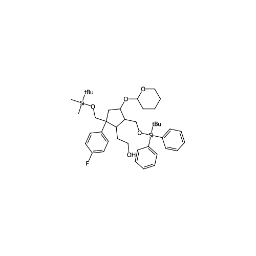 CC(C)(C)[Si](C)(C)OCC1(c2ccc(F)cc2)CC(OC2CCCCO2)C(CO[Si](c2ccccc2)(c2ccccc2)C(C)(C)C)C1CCO